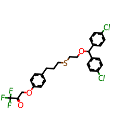 O=C(COc1ccc(CCCSCCOC(c2ccc(Cl)cc2)c2ccc(Cl)cc2)cc1)C(F)(F)F